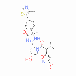 COc1cc(C(C(=O)N2CC(O)CC2C2=NC(=O)C(C)(c3ccc(-c4scnc4C)cc3)N2)C(C)C)on1